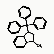 CC1CC([Si](c2ccccc2)(c2ccccc2)c2ccccc2)C2C=CC=CC12